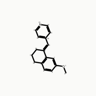 COc1ccc2c(c1)/C(=C/c1ccncc1)CCC2